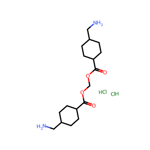 Cl.Cl.NCC1CCC(C(=O)OCOC(=O)C2CCC(CN)CC2)CC1